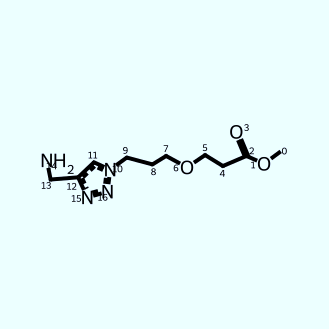 COC(=O)CCOCCCn1cc(CN)nn1